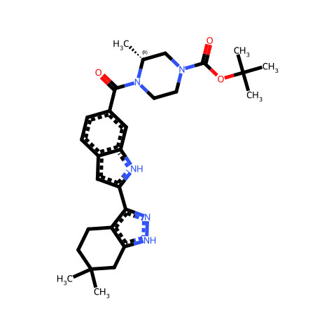 C[C@@H]1CN(C(=O)OC(C)(C)C)CCN1C(=O)c1ccc2cc(-c3n[nH]c4c3CCC(C)(C)C4)[nH]c2c1